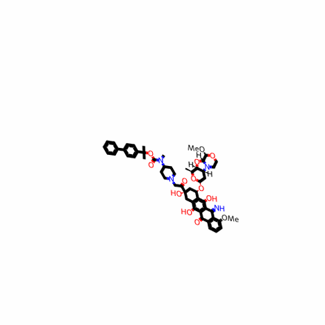 COc1cccc2c1C(=N)c1c(O)c3c(c(O)c1C2=O)C[C@@](O)(C(=O)CN1CCC(N(C)C(=O)OC(C)(C)c2ccc(-c4ccccc4)cc2)CC1)C[C@@H]3O[C@H]1C[C@H]2[C@H](O[C@@H]3[C@@H](OC)OCCN32)[C@H](C)O1